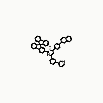 C1=C(c2cccc(-c3cccnc3)c2)N=C(c2ccc3c(c2)C2(c4ccccc4-c4ccccc42)c2ccccc2-3)NC1c1ccc(-c2ccc3ccccc3c2)cc1